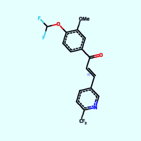 COc1cc(C(=O)/C=C/c2ccc(C(F)(F)F)nc2)ccc1OC(F)F